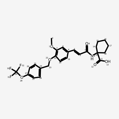 COc1cc(C=CC(=O)NC2(C(=O)O)CCCCC2)ccc1OCc1ccc(OC(F)(F)F)cc1